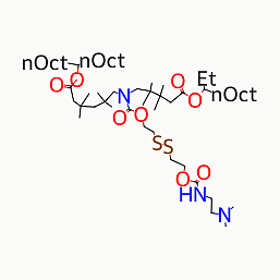 CCCCCCCCC(CC)OC(=O)CC(C)(C)C(C)(C)CN(CC(C)(C)CC(C)(C)CC(=O)OC(CCCCCCCC)CCCCCCCC)C(=O)OCCSSCCOC(=O)NCCN(C)C